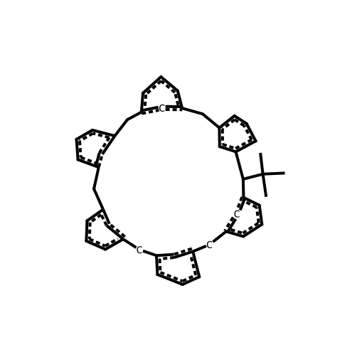 CC(C)(C)C1c2cccc(c2)Cc2cccc(c2)Cc2cccc(c2)Cc2cccc(c2)Cc2cccc(c2)Cc2cccc1c2